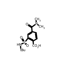 CN(C)C(=O)c1ccc(C(=O)O)c(S(=O)(=O)NC(C)(C)C)c1